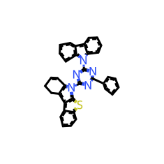 C1=Cc2c(c3c4ccccc4sc3n2-c2nc(-c3ccccc3)nc(-n3c4ccccc4c4ccccc43)n2)CC1